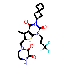 Cc1c(CN2CCNC(=O)C2=O)sc2c1c(=O)n(C1CC3(CCC3)C1)c(=O)n2CCC(F)(F)F